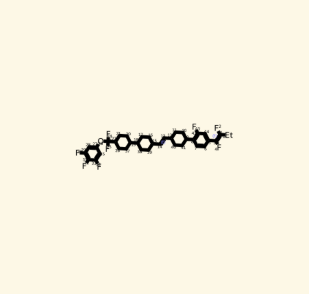 CC/C(F)=C(\F)c1ccc(C2CCC(/C=C/C3CCC(C4CCC(C(F)(F)Oc5cc(F)c(F)c(F)c5)CC4)CC3)CC2)c(F)c1